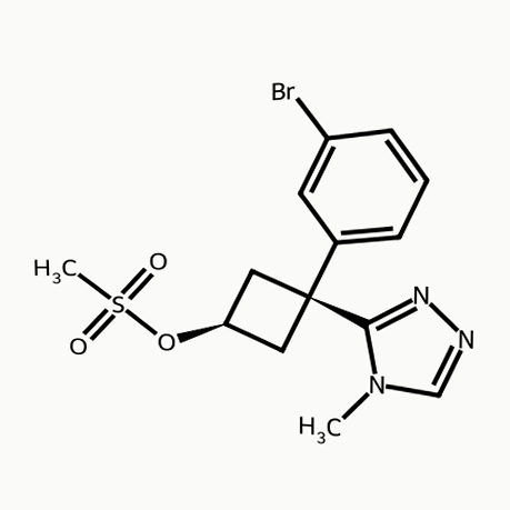 Cn1cnnc1[C@]1(c2cccc(Br)c2)C[C@H](OS(C)(=O)=O)C1